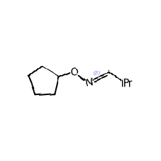 CC(C)/[C]=N/OC1CCCC1